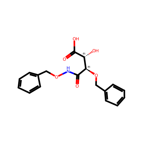 O=C(O)[C@H](O)[C@@H](OCc1ccccc1)C(=O)NOCc1ccccc1